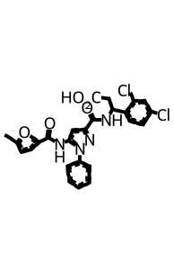 Cc1ccc(C(=O)Nc2cc(C(=O)NC(CC(=O)O)c3ccc(Cl)cc3Cl)nn2-c2ccccc2)o1